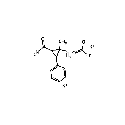 CC1(C)C(C(N)=O)C1c1ccccc1.O=C([O-])[O-].[K+].[K+]